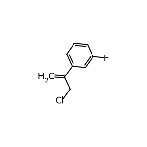 C=C(CCl)c1cccc(F)c1